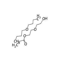 C=CC(=O)OCCOCCO.CCCCOCCCC